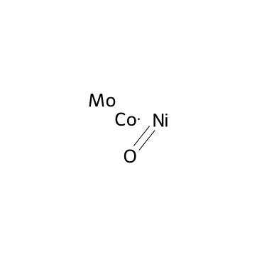 [Co].[Mo].[O]=[Ni]